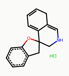 C1=CCC2=CNCC3(Cc4ccccc4O3)C2=C1.Cl